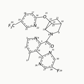 Cc1ccnc(C(=O)N2CC3CCC2C(Oc2ccc(C(F)(F)F)cn2)C3)c1-c1ncc(F)cn1